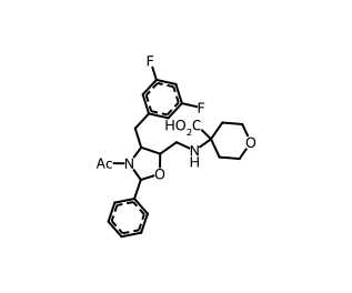 CC(=O)N1C(c2ccccc2)OC(CNC2(C(=O)O)CCOCC2)C1Cc1cc(F)cc(F)c1